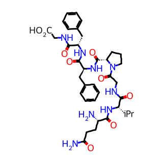 CC(C)[C@H](NC(=O)[C@@H](N)CCC(N)=O)C(=O)NCC(=O)N1CCC[C@H]1C(=O)N[C@@H](Cc1ccccc1)C(=O)N[C@@H](Cc1ccccc1)C(=O)NCC(=O)O